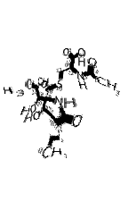 CCC[C@H]1C(=O)N[C@](C(=O)SC[C@H](NC(C)=O)C(=O)O)([C@@H](O)C(C)C)[C@H]1O